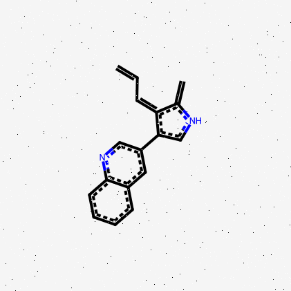 C=C/C=c1/c(-c2cnc3ccccc3c2)c[nH]c1=C